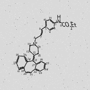 CCOC(=O)Nc1ccc(C=CCN2CCC(=C3c4ccccc4C=Cc4ccccc43)CC2)cc1